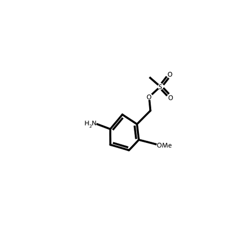 COc1ccc(N)cc1COS(C)(=O)=O